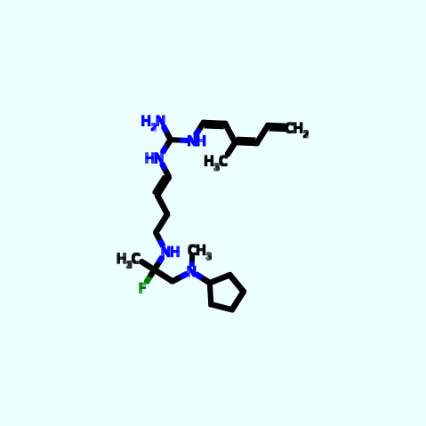 C=C/C=C(C)\C=C/NC(N)N/C=C/CCNC(C)(F)CN(C)C1CCCC1